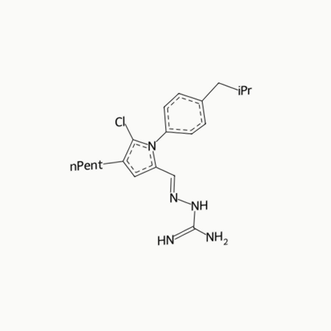 CCCCCc1cc(/C=N/NC(=N)N)n(-c2ccc(CC(C)C)cc2)c1Cl